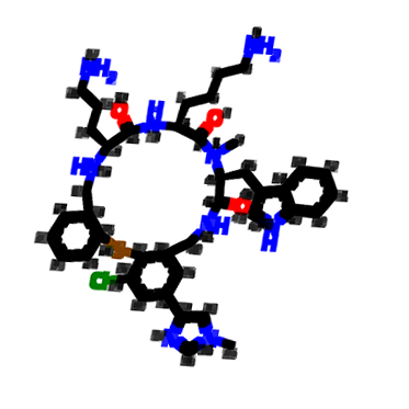 CN1C(=O)[C@H](CCCCN)NC(=O)[C@H](CCCN)NCc2ccccc2Sc2c(Cl)cc(-c3cn(C)cn3)cc2CNC(=O)[C@@H]1Cc1c[nH]c2ccccc12